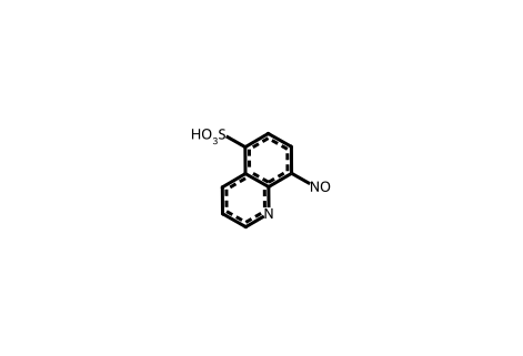 O=Nc1ccc(S(=O)(=O)O)c2cccnc12